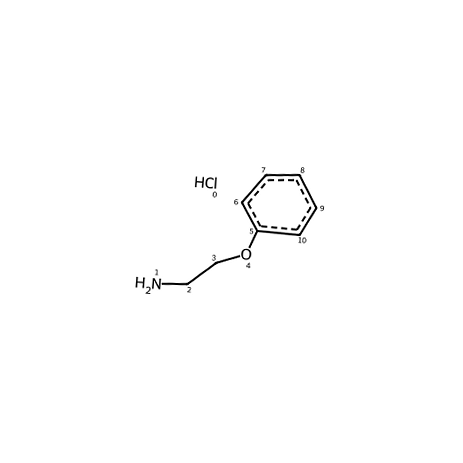 Cl.NCCOc1ccccc1